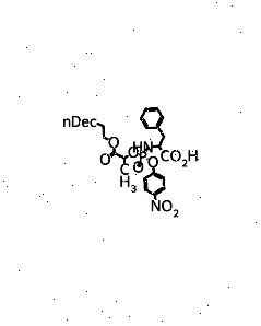 CCCCCCCCCCCCOC(=O)C(C)OP(=O)(NC(Cc1ccccc1)C(=O)O)Oc1ccc([N+](=O)[O-])cc1